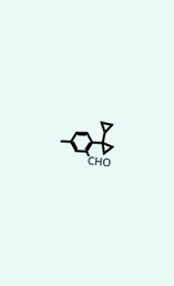 Cc1ccc(C2(C3CC3)CC2)c(C=O)c1